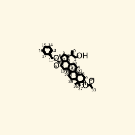 C=C(CO)[C@@H]1CC[C@]2(C(=O)OCc3ccccc3)CC[C@]3(C)C(CCC4[C@@]5(C)CC[C@@H](OC(C)=O)C(C)(C)C5CC[C@]43C)C12